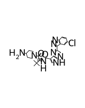 Cn1nc(-c2cnc3[nH]cc(C(=O)N[C@@H](C(=O)N4CCC(N)CC4)C(C)(C)C)c3n2)c2cc(Cl)ccc21